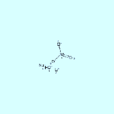 O=[N+]([O-])[O-].[Li+].[Na+].[OH-]